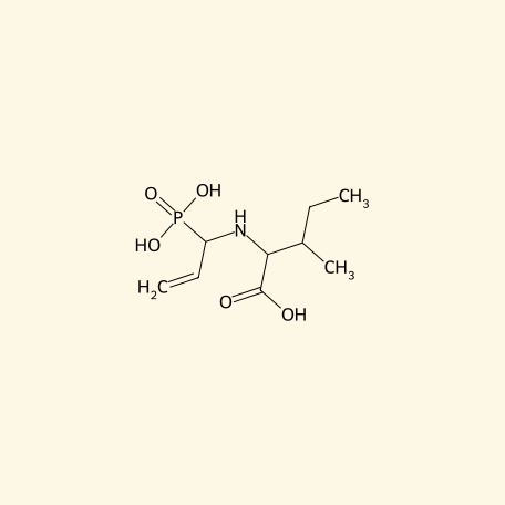 C=CC(NC(C(=O)O)C(C)CC)P(=O)(O)O